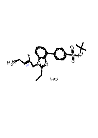 CCc1nc2c(-c3ccc(S(=O)(=O)NC(C)(C)C)cc3)cccc2n1C/C(F)=C/CN.Cl